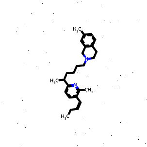 CC/C=C\c1ccc(C(C)CCCCN2CCc3ccc(C)cc3C2)nc1C